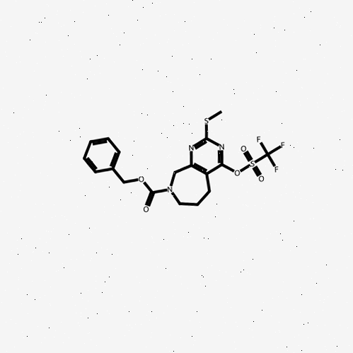 CSc1nc2c(c(OS(=O)(=O)C(F)(F)F)n1)CCCN(C(=O)OCc1ccccc1)C2